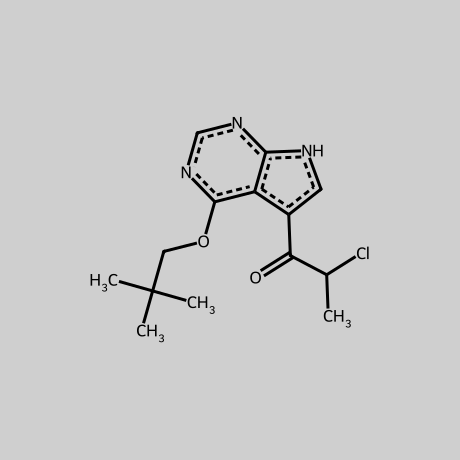 CC(Cl)C(=O)c1c[nH]c2ncnc(OCC(C)(C)C)c12